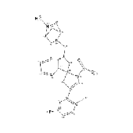 CC(=O)N1N=C(c2cc(F)ccc2F)CC1(CCCN1CC2CC1CN2C)c1ccccc1